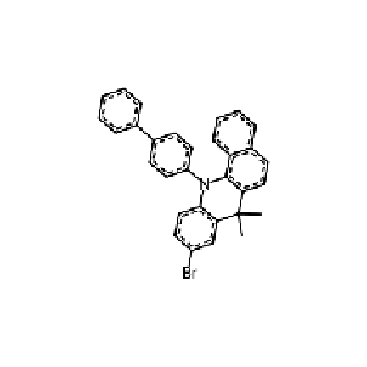 CC1(C)c2cc(Br)ccc2N(c2ccc(-c3ccccc3)cc2)c2c1ccc1ccccc21